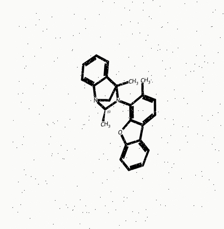 Cc1ccc2c(oc3ccccc32)c1N1[C@@H](C)N2CC1(C)c1ccccc12